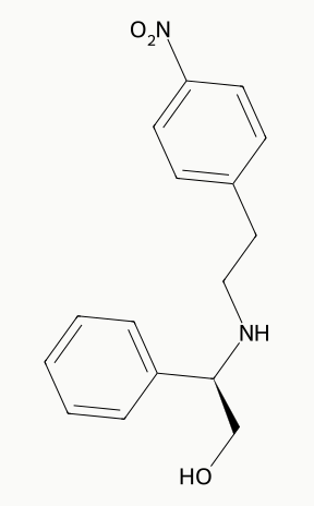 O=[N+]([O-])c1ccc(CCN[C@@H](CO)c2ccccc2)cc1